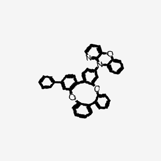 c1ccc(-c2ccc3c(c2)Oc2ccccc2-c2ccccc2Oc2cc(N4c5ccccc5Oc5cccnc54)ccc2-3)cc1